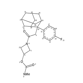 CNC(=O)OC1CN(C(=O)CC2(c3ccc(F)cc3)C3CC4CC(C3)CC2C4)C1